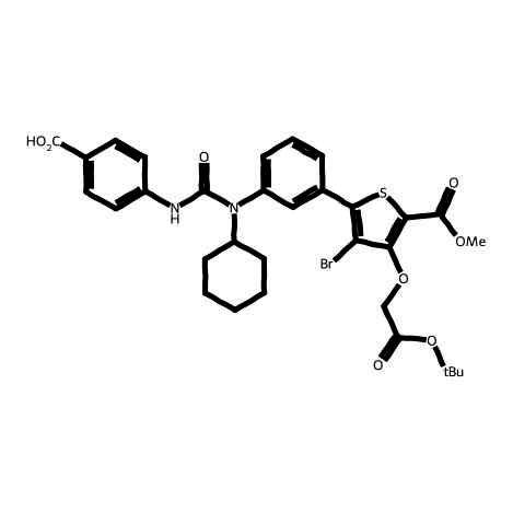 COC(=O)c1sc(-c2cccc(N(C(=O)Nc3ccc(C(=O)O)cc3)C3CCCCC3)c2)c(Br)c1OCC(=O)OC(C)(C)C